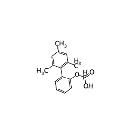 Cc1cc(C)c(-c2ccccc2O[PH](=O)O)c(C)c1